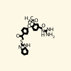 CS(=O)(=O)c1cc(C(=O)NC(=N)N)ccc1Oc1ccc(C(=O)CSc2nc3ccccc3[nH]2)cc1